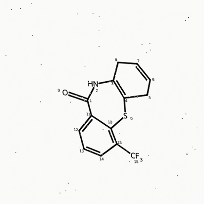 O=C1NC2=C(CC=CC2)Sc2c1cccc2C(F)(F)F